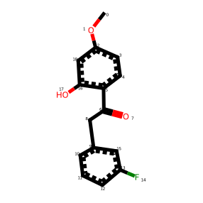 COc1ccc(C(=O)Cc2cccc(F)c2)c(O)c1